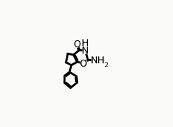 NC1NC(=O)C2=C(O1)C(c1ccccc1)CC2